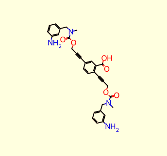 CN(Cc1cccc(N)c1)C(=O)OCC#Cc1ccc(C#CCOC(=O)N(C)Cc2cccc(N)c2)c(C(=O)O)c1